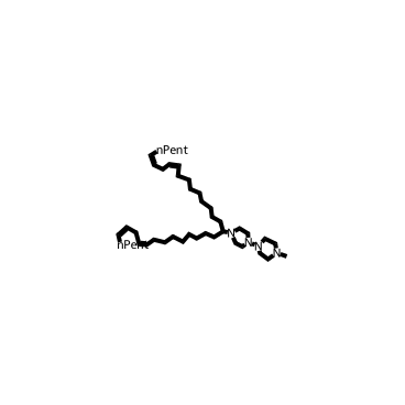 CCCCC/C=C\C/C=C\CCCCCCCCC(CCCCCCCC/C=C\C/C=C\CCCCC)N1CCN(N2CCN(C)CC2)CC1